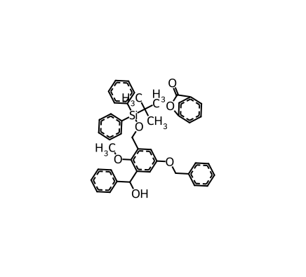 COc1c(CO[Si](c2ccccc2)(c2ccccc2)C(C)(C)C)cc(OCc2ccccc2)cc1C(O)c1ccccc1.O=C1Oc2cccc1c2